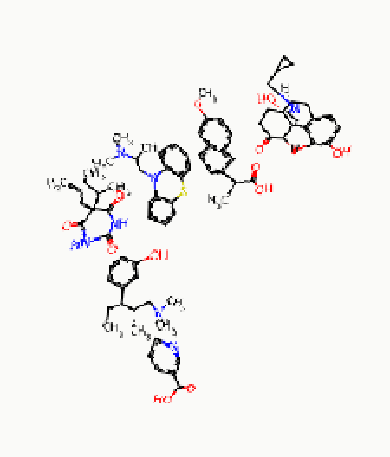 C=CCC1(C(C)CC)C(=O)NC(=O)NC1=O.CC(CN1c2ccccc2Sc2ccccc21)N(C)C.CC[C@@H](c1cccc(O)c1)[C@@H](C)CN(C)C.COc1ccc2cc([C@H](C)C(=O)O)ccc2c1.O=C(O)c1cccnc1.O=C1CC[C@@]2(O)[C@H]3Cc4ccc(O)c5c4[C@@]2(CCN3CC2CC2)[C@H]1O5